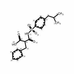 CC(C)Cc1ccc(S(=O)(=O)NC(=O)C(Cc2ccccc2)C(=O)O)cc1